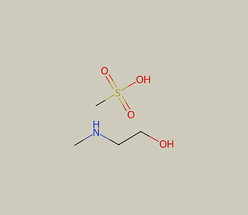 CNCCO.CS(=O)(=O)O